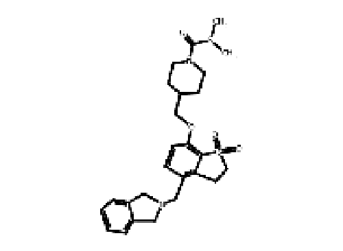 CN(C)C(=O)N1CCC(COc2ccc(CN3Cc4ccccc4C3)c3c2S(=O)(=O)CC3)CC1